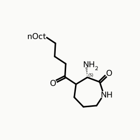 CCCCCCCCCCCC(=O)C1CCCNC(=O)[C@H]1N